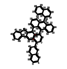 c1ccc2cc(-c3ccc(-c4c5ccccc5c(-c5cccc6ccccc56)c5cccc(-c6cccc7c6sc6ccccc67)c45)cc3)ccc2c1